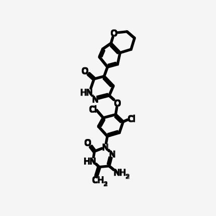 C=C1NC(=O)N(c2cc(Cl)c(Oc3cc(-c4ccc5c(c4)CCCO5)c(=O)[nH]n3)c(Cl)c2)N=C1N